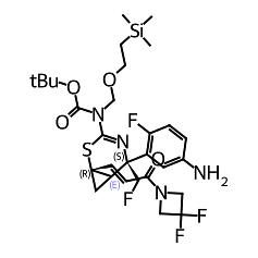 CC(C)(C)OC(=O)N(COCC[Si](C)(C)C)C1=N[C@](CF)(c2cc(N)ccc2F)C2C[C@]2(/C=C/C(=O)N2CC(F)(F)C2)S1